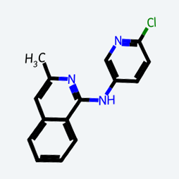 Cc1cc2ccccc2c(Nc2ccc(Cl)nc2)n1